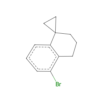 Brc1cccc2c1CCCC21CC1